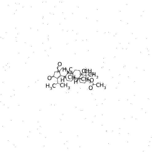 CC(=O)O[C@H]1CC[C@]2(C)[C@H]3CC[C@@H]4C5=C(C(C)C)C(=O)C[C@]5(C=O)CC[C@@]4(C)[C@]3(C)CC[C@@]2(C)C1(C)C